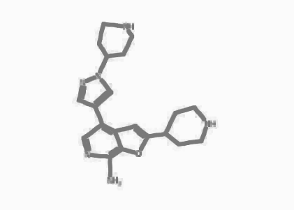 Nc1ncc(-c2cnn(C3CCNCC3)c2)c2cc(C3CCNCC3)oc12